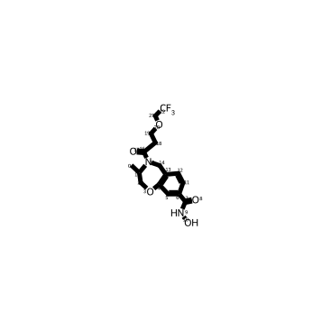 CC1COc2cc(C(=O)NO)ccc2CN1C(=O)CCOCC(F)(F)F